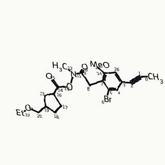 CC#Cc1cc(Br)c(CC(=O)N(C)OC(=O)C2CCC(COCC)C2)c(OC)c1